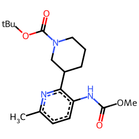 COC(=O)Nc1ccc(C)nc1C1CCCN(C(=O)OC(C)(C)C)C1